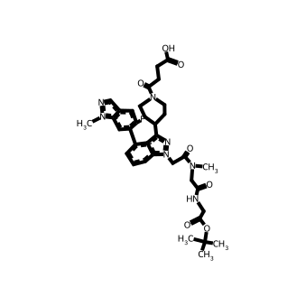 CN(CC(=O)NCC(=O)OC(C)(C)C)C(=O)Cn1nc(C2CCN(C(=O)CCC(=O)O)CC2)c2c(-c3cc4c(cnn4C)cc3F)cccc21